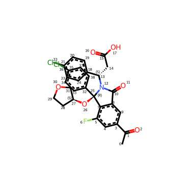 CC(=O)c1cc(F)c2c(c1)C(=O)N([C@@H](CC(=O)O)c1ccc(Cl)cc1)[C@@]2(O[C@H]1CCOC1)c1ccc(Cl)cc1